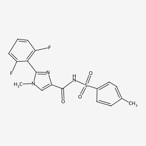 Cc1ccc(S(=O)(=O)NC(=O)c2cn(C)c(-c3c(F)cccc3F)n2)cc1